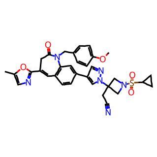 COc1ccc(CN2C(=O)CC(c3ncc(C)o3)=Cc3ccc(-c4cnn(C5(CC#N)CN(S(=O)(=O)C6CC6)C5)c4)cc32)cc1